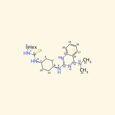 CCCCCCNC(=S)N[C@H]1CC[C@@H](Nc2nc(N(C)C)c3ccccc3n2)CC1